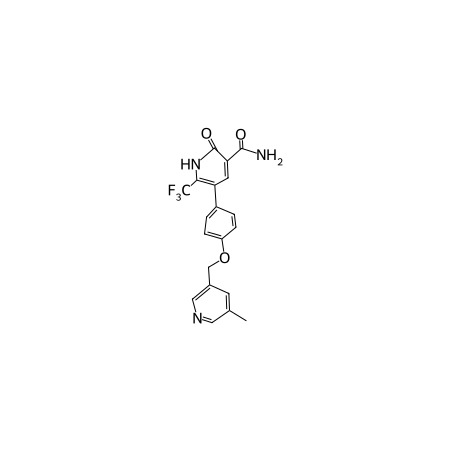 Cc1cncc(COc2ccc(-c3cc(C(N)=O)c(=O)[nH]c3C(F)(F)F)cc2)c1